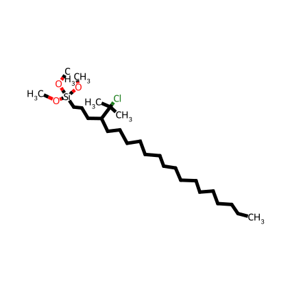 CCCCCCCCCCCCCCCCC(CCC[Si](OC)(OC)OC)C(C)(C)Cl